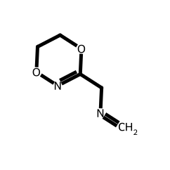 C=NCC1=NOCCO1